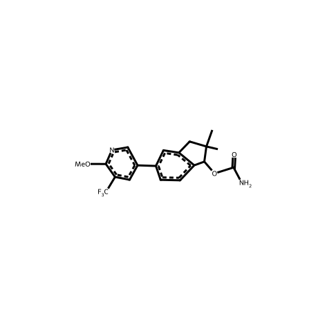 COc1ncc(-c2ccc3c(c2)CC(C)(C)C3OC(N)=O)cc1C(F)(F)F